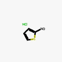 Cl.O=Nc1cccs1